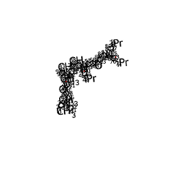 Cc1ccc(C)c(N(c2ccccc2)c2ccc3cc4c(cc3c2)oc2cc3cc(N(c5cccc(CC(C)c6ccc(N(c7ccc(C(C)C)cc7)c7ccc8cc9c(cc8c7)oc7cc8cc(N(c%10ccc(C(C)C)cc%10)c%10ccc(C(C)C)cc%10)ccc8cc79)cc6)c5)c5cc(C)ccc5C)ccc3cc24)c1